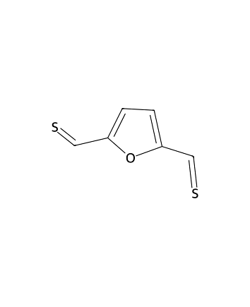 S=Cc1ccc(C=S)o1